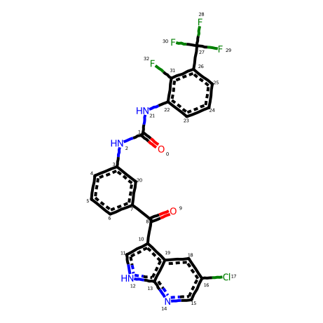 O=C(Nc1cccc(C(=O)c2c[nH]c3ncc(Cl)cc23)c1)Nc1cccc(C(F)(F)F)c1F